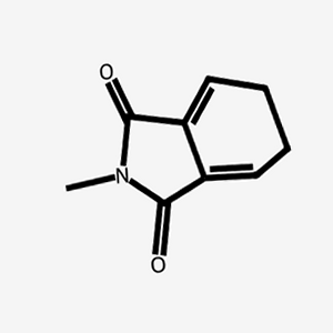 CN1C(=O)C2=CCCC=C2C1=O